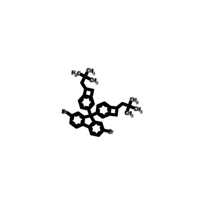 CC(C)(C)CC1Cc2cc(C3(c4ccc5c(c4)CC5CC(C)(C)C)c4cc(Br)ccc4-c4ccc(Br)cc43)ccc21